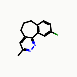 Cc1cc2c(nn1)-c1cc(F)ccc1CCC2